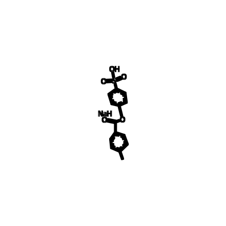 Cc1ccc(C(=O)Oc2ccc(S(=O)(=O)O)cc2)cc1.[NaH]